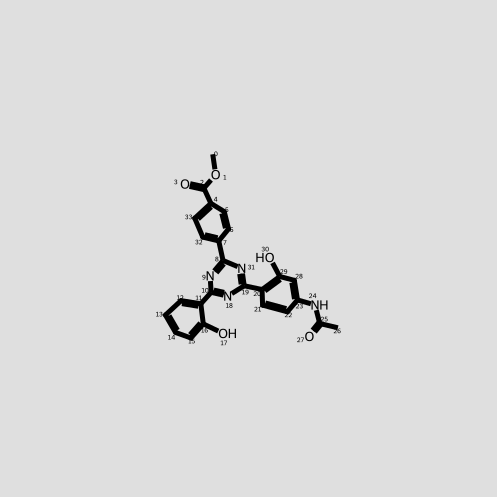 COC(=O)c1ccc(-c2nc(-c3ccccc3O)nc(-c3ccc(NC(C)=O)cc3O)n2)cc1